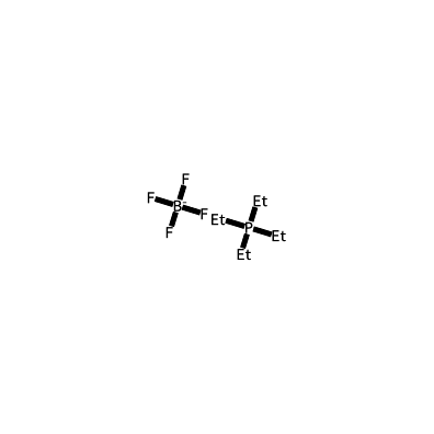 CC[P](CC)(CC)CC.F[B-](F)(F)F